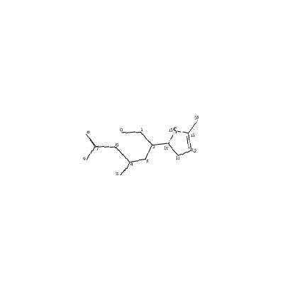 CCC(CC(C)CC(C)C)C1CC=C(C)S1